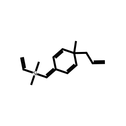 C=CCC1(C)C=CC(=C[Si](C)(C)C=C)C=C1